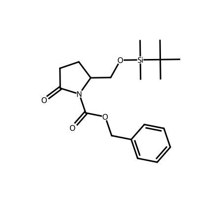 CC(C)(C)[Si](C)(C)OCC1CCC(=O)N1C(=O)OCc1ccccc1